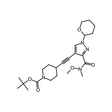 CON(C)C(=O)c1nn(C2CCCCO2)cc1C#CC1CCN(C(=O)OC(C)(C)C)CC1